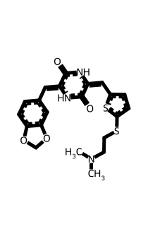 CN(C)CCSc1ccc(C=c2[nH]c(=O)c(=Cc3ccc4c(c3)OCO4)[nH]c2=O)s1